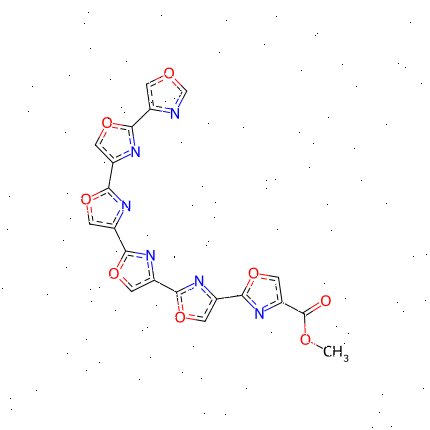 COC(=O)c1coc(-c2coc(-c3coc(-c4coc(-c5coc(-c6cocn6)n5)n4)n3)n2)n1